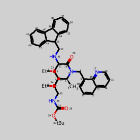 CCOC(OCC)[C@H](C)N(Cc1cccc2cccnc12)C(=O)C(CCCCNC(=O)OC(C)(C)C)NCC1c2ccccc2-c2ccccc21